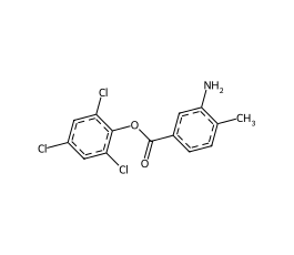 Cc1ccc(C(=O)Oc2c(Cl)cc(Cl)cc2Cl)cc1N